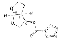 O=C(O[C@H]1CO[C@H]2OCC[C@H]21)n1ccnc1